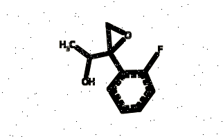 CC(O)C1(c2ccccc2F)CO1